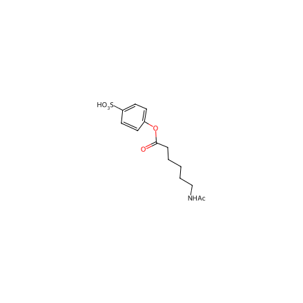 CC(=O)NCCCCCC(=O)Oc1ccc(S(=O)(=O)O)cc1